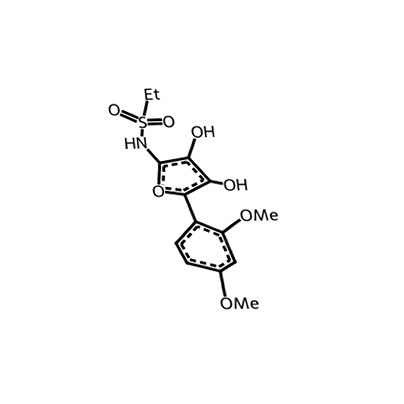 CCS(=O)(=O)Nc1oc(-c2ccc(OC)cc2OC)c(O)c1O